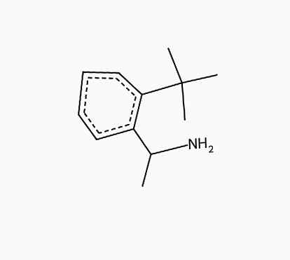 CC(N)c1ccccc1C(C)(C)C